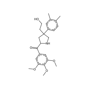 COc1cc(C(=O)C2CC(CCO)(c3ccc(C)c(C)c3)CN2)cc(OC)c1OC